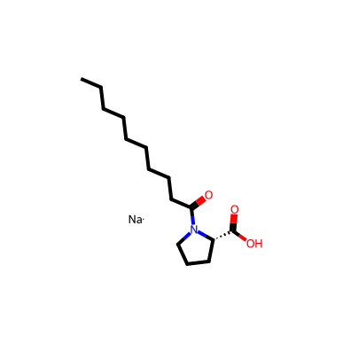 CCCCCCCCCC(=O)N1CCC[C@H]1C(=O)O.[Na]